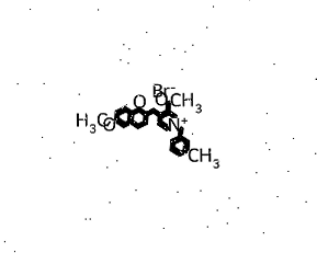 COc1ccc2c(c1)CCC(Cc1cc[n+](Cc3cccc(C)c3)cc1C(C)=O)C2=O.[Br-]